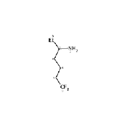 CCC(N)CCCC(F)(F)F